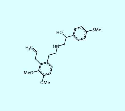 C=CCc1c(CCNCC(O)c2ccc(SC)cc2)ccc(OC)c1OC